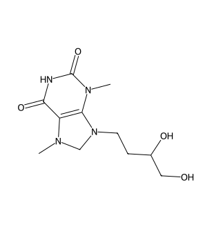 CN1CN(CCC(O)CO)c2c1c(=O)[nH]c(=O)n2C